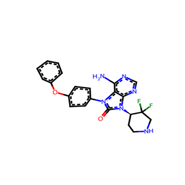 Nc1ncnc2c1n(-c1ccc(Oc3ccccc3)cc1)c(=O)n2[C@@H]1CCNCC1(F)F